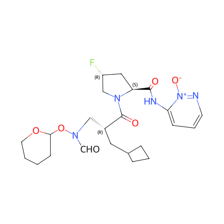 O=CN(C[C@@H](CC1CCC1)C(=O)N1C[C@H](F)C[C@H]1C(=O)Nc1cccn[n+]1[O-])OC1CCCCO1